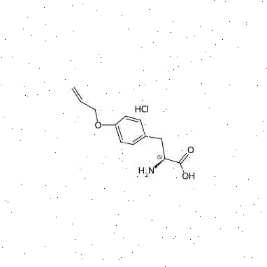 C=CCOc1ccc(C[C@H](N)C(=O)O)cc1.Cl